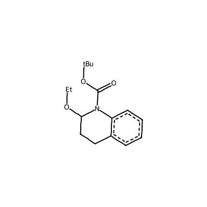 CCOC1CCc2ccccc2N1C(=O)OC(C)(C)C